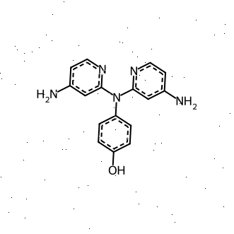 Nc1ccnc(N(c2ccc(O)cc2)c2cc(N)ccn2)c1